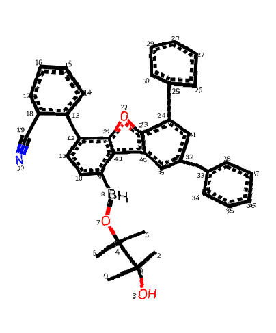 CC(C)(O)C(C)(C)OBc1ccc(-c2ccccc2C#N)c2oc3c(-c4ccccc4)cc(-c4ccccc4)cc3c12